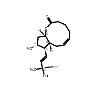 CCCCC[C@](C)(O)C=C[C@@H]1[C@H]2CC=CCCCC(=O)O[C@H]2C[C@H]1O